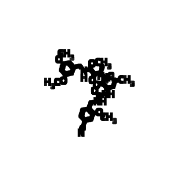 CCC(NC(=O)C(CC(C)C)NC(=O)NCc1ccc(C#N)cc1OC)C(=O)C(=O)NCc1cc(OC)cc(OC)c1